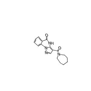 O=C(c1cnn2c1[nH]c(=O)c1ccccc12)N1CCCCCC1